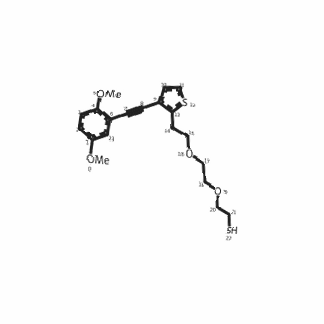 COc1ccc(OC)c(C#Cc2ccsc2CCOCCOCCS)c1